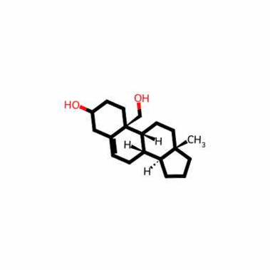 C[C@@]12CCC[C@H]1[C@@H]1CC=C3CC(O)CC[C@]3(CO)[C@@H]1CC2